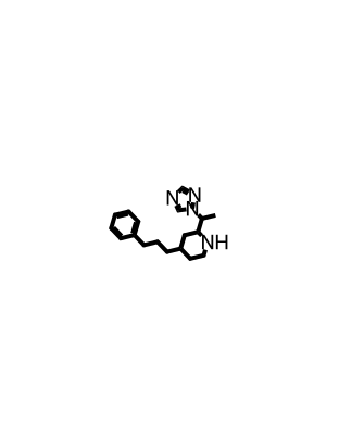 CC(C1CC(CCCc2ccccc2)CCN1)n1cncn1